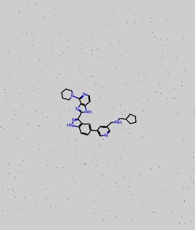 c1cc2[nH]c(-c3n[nH]c4ccc(-c5cncc(CNCC6CCCC6)c5)cc34)nc2c(N2CCCCC2)n1